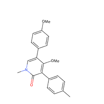 COc1ccc(-c2cn(C)c(=O)c(-c3ccc(C)cc3)c2OC)cc1